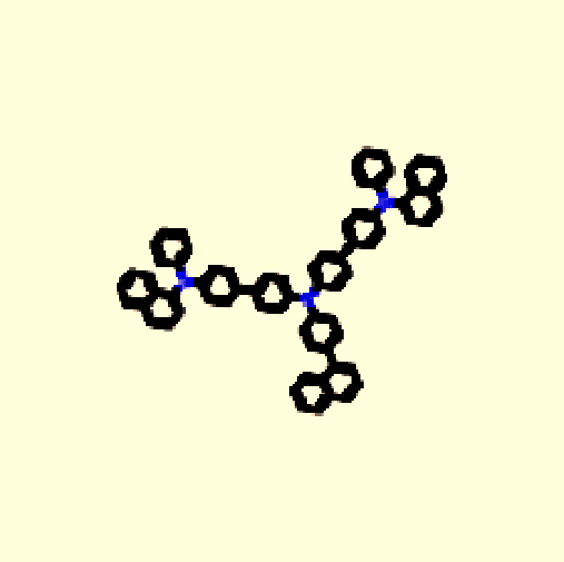 c1ccc(N(c2ccc(-c3ccc(N(c4ccc(-c5ccc(N(c6ccccc6)c6cccc7ccccc67)cc5)cc4)c4ccc(-c5cccc6ccccc56)cc4)cc3)cc2)c2cccc3ccccc23)cc1